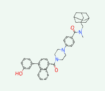 CN(CC12CC3CC(CC(C3)C1)C2)C(=O)c1ccc(N2CCN(C(=O)c3ccc(-c4cccc(O)c4)c4ccccc34)CC2)cc1